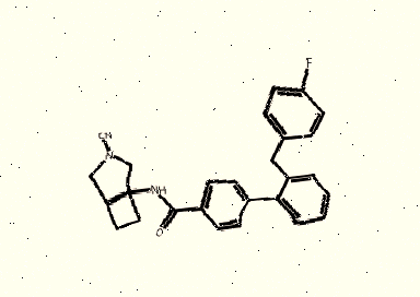 N#CN1CC2CCC2(NC(=O)c2ccc(-c3ccccc3Cc3ccc(F)cc3)cc2)C1